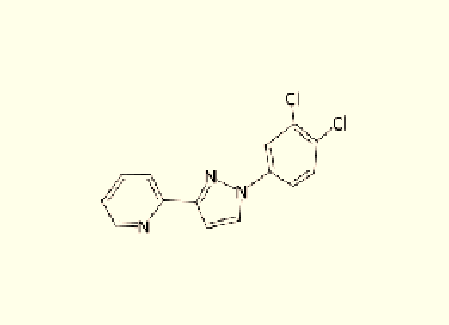 Clc1ccc(-n2ccc(-c3ccccn3)n2)cc1Cl